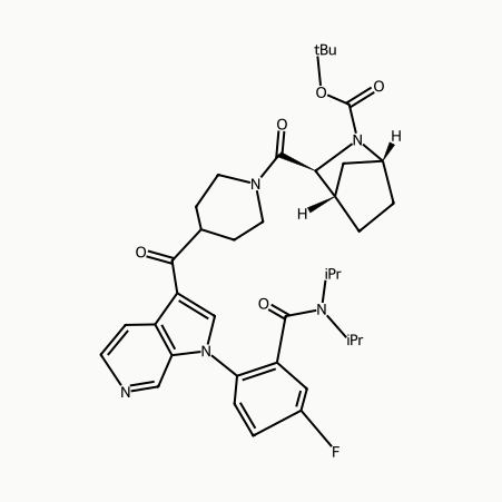 CC(C)N(C(=O)c1cc(F)ccc1-n1cc(C(=O)C2CCN(C(=O)[C@@H]3[C@H]4CC[C@H](C4)N3C(=O)OC(C)(C)C)CC2)c2ccncc21)C(C)C